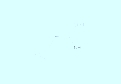 N[C@H](CC1CC1)C(=O)O